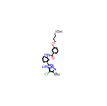 CCCCCCCCCCCCCCOc1cccc(C(=O)Nc2cccc(-c3nn4nc(C(C)(C)C)c(Cl)c4[nH]3)c2)c1